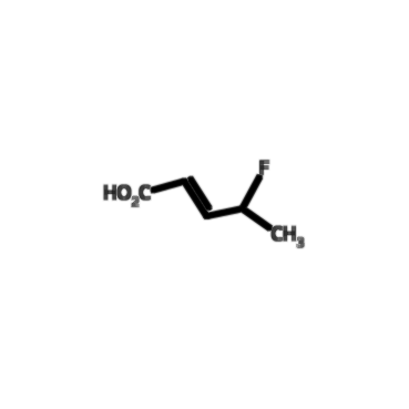 CC(F)/C=C/C(=O)O